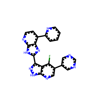 Fc1c(-c2cncnc2)cnc2[nH]nc(-c3nc4c(-c5ccccn5)ccnc4[nH]3)c12